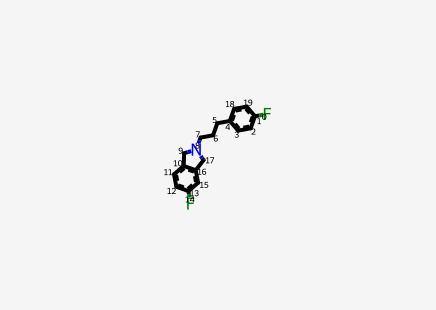 Fc1ccc(CCCN2Cc3ccc(F)cc3C2)cc1